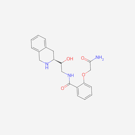 NC(=O)COc1ccccc1C(=O)NCC(O)[C@@H]1Cc2ccccc2CN1